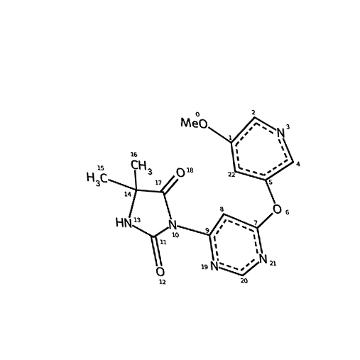 COc1cncc(Oc2cc(N3C(=O)NC(C)(C)C3=O)ncn2)c1